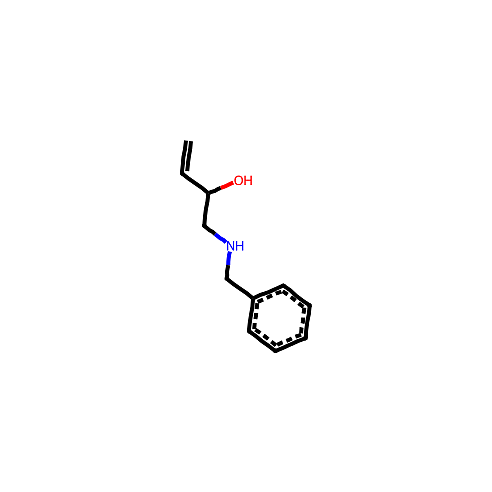 C=CC(O)CNCc1ccccc1